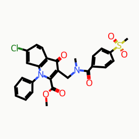 COC(=O)c1c(CN(C)C(=O)c2ccc(S(C)(=O)=O)cc2)c(=O)c2ccc(Cl)cc2n1-c1ccccc1